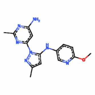 COc1ccc(Nc2cc(C)nn2-c2cc(N)nc(C)n2)cn1